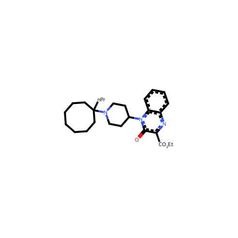 CCCC1(N2CCC(n3c(=O)c(C(=O)OCC)nc4ccccc43)CC2)CCCCCCC1